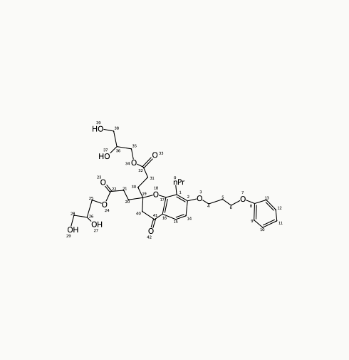 CCCc1c(OCCCOc2ccccc2)ccc2c1OC(CCC(=O)OCC(O)CO)(CCC(=O)OCC(O)CO)CC2=O